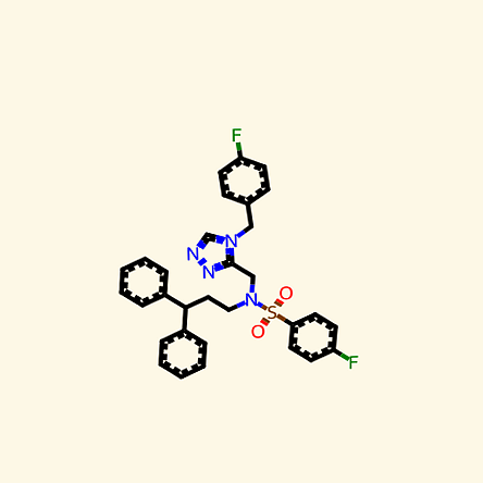 O=S(=O)(c1ccc(F)cc1)N(CCC(c1ccccc1)c1ccccc1)Cc1nncn1Cc1ccc(F)cc1